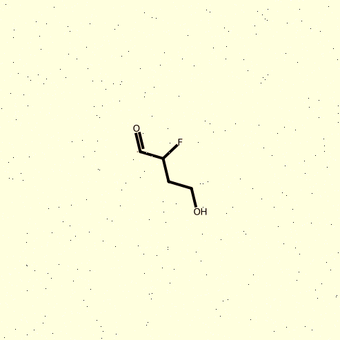 O=[C]C(F)CCO